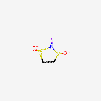 [O-][S+]1CC[S+]([O-])N1I